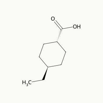 CC[C@H]1CC[C@H](C(=O)O)CC1